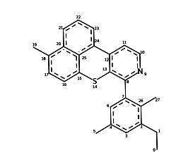 CCc1cc(C)cc(-c2nccc3c2Sc2ccc(C)c4cccc-3c24)c1C